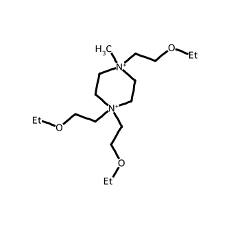 CCOCC[N+]1(C)CC[N+](CCOCC)(CCOCC)CC1